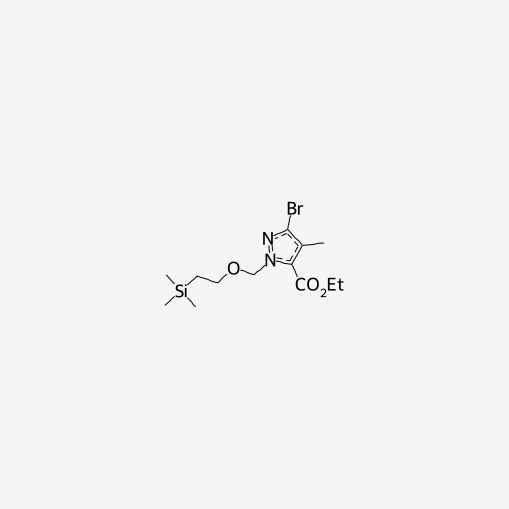 CCOC(=O)c1c(C)c(Br)nn1COCC[Si](C)(C)C